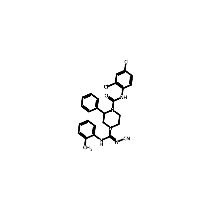 Cc1ccccc1N/C(=N/C#N)N1CCN(C(=O)Nc2ccc(Cl)cc2Cl)C(c2ccccc2)C1